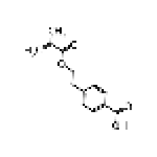 C=C(C)C(=O)OCCc1ccc(C(=O)O)cc1